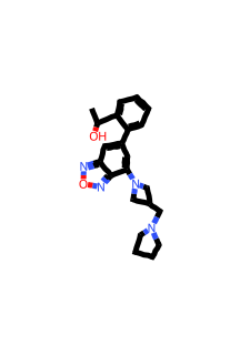 CC(O)c1ccccc1-c1cc(N2CC(CN3CCCC3)C2)c2nonc2c1